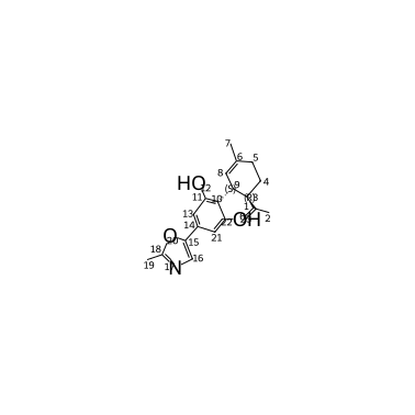 C=C(C)[C@@H]1CCC(C)=C[C@H]1c1c(O)cc(-c2cnc(C)o2)cc1O